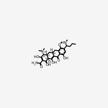 CCCC(NC)c1cc(O)c2c(c1OC)C[C@H]1C[C@H]3[C@H](N(C)C)C(O)=C(C(N)=O)C(=O)[C@@]3(O)C(O)=C1C2=O